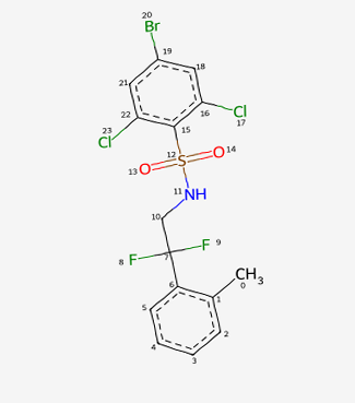 Cc1ccccc1C(F)(F)CNS(=O)(=O)c1c(Cl)cc(Br)cc1Cl